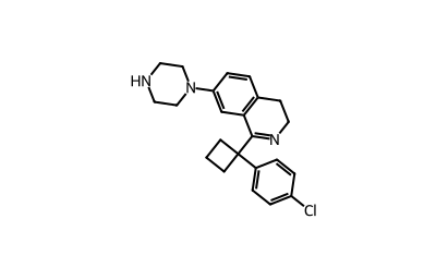 Clc1ccc(C2(C3=NCCc4ccc(N5CCNCC5)cc43)CCC2)cc1